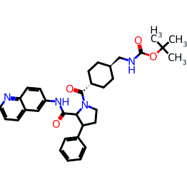 CC(C)(C)OC(=O)NC[C@H]1CC[C@H](C(=O)N2CCC(c3ccccc3)C2C(=O)Nc2ccc3ncccc3c2)CC1